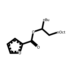 CCCCCCCCCC(CCCC)OC(=O)c1ccco1